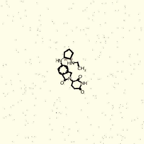 CCN[C@H]1CCC[C@H]1Nc1ccc2c(c1)CN(C1CCC(=O)NC1=O)C2=O